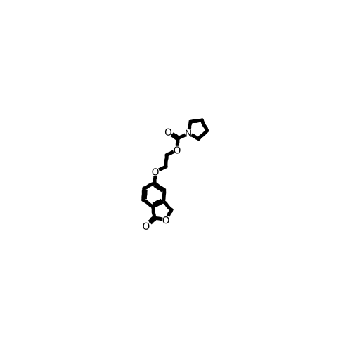 O=C1OCc2cc(OCCOC(=O)N3CCCC3)ccc21